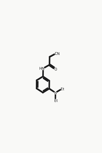 CCN(CC)c1cccc(NC(=O)CC#N)c1